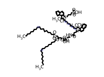 CCCCCCCC/C=C\CCCCCCCC(=O)OCC(COP(=O)(O)OCCNC(=O)CCN1/C(=C/C=C/C=C/C=C/C2=[N+](CCCCS(=O)(=O)O)c3ccc4ccccc4c3C2(C)C)C(C)(C)c2c1ccc1ccccc21)OC(=O)CCCCCCC/C=C\CCCCCCCC